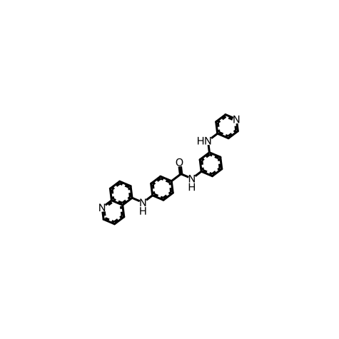 O=C(Nc1cccc(Nc2ccncc2)c1)c1ccc(Nc2cccc3ncccc23)cc1